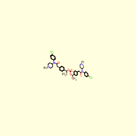 CC(OC(=O)OC(C)c1ccc(CC(=O)N(c2ccc(Cl)cc2)C2CCN(C(C)C)CC2)cc1)c1ccc(CC(=O)N(c2ccc(Cl)cc2)C2CCN(C(C)C)CC2)cc1